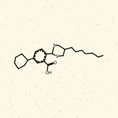 CCCCCCCC1CSC(c2ccc(C3CCCCC3)cc2C(=O)O)SC1